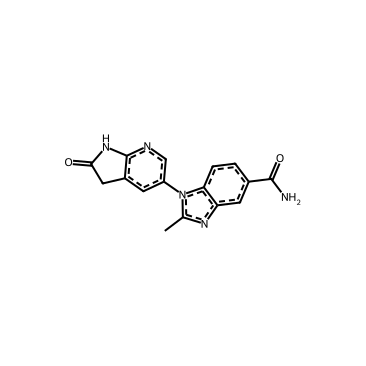 Cc1nc2cc(C(N)=O)ccc2n1-c1cnc2c(c1)CC(=O)N2